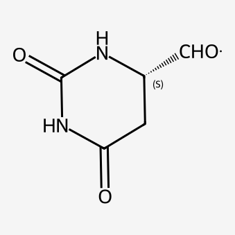 O=[C][C@@H]1CC(=O)NC(=O)N1